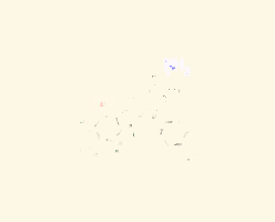 CC(C)c1ccc2c(c1)CC[C@H]1[C@@](C)(CN)CCC[C@]21C.Oc1c(Cl)c(Cl)c(Cl)c(Cl)c1Cl